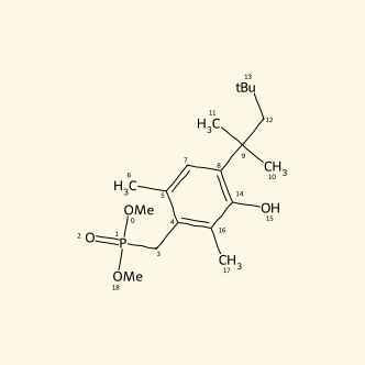 COP(=O)(Cc1c(C)cc(C(C)(C)CC(C)(C)C)c(O)c1C)OC